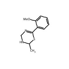 COc1ccccc1C1=NCNC(C)S1